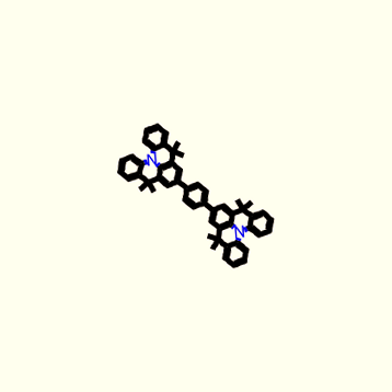 CC1(C)c2ccccc2N2c3ccccc3C(C)(C)c3cc(-c4ccc(-c5cc6c7c(c5)C(C)(C)c5ccccc5N7c5ccccc5C6(C)C)cc4)cc1c32